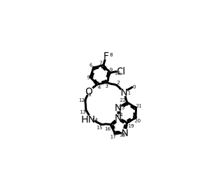 CN1Cc2c(ccc(F)c2Cl)OCCNCc2cnc3ccc1nn23